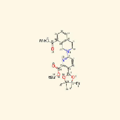 CCC1(C)OB(c2ccc(N3CCc4cccc(C(=O)OC)c4C3)nc2C(=O)OC(C)(C)C)OC1(C)C